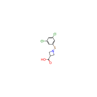 O=C(O)C1CN(Sc2cc(Cl)cc(Cl)c2)C1